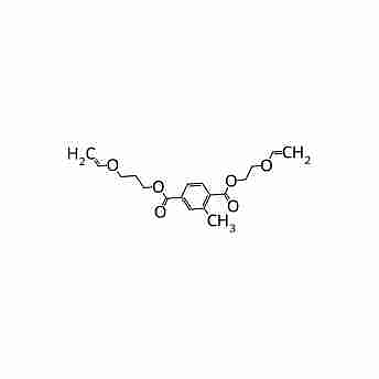 C=COCCCOC(=O)c1ccc(C(=O)OCCOC=C)c(C)c1